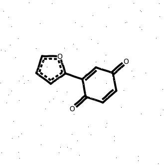 O=C1C=CC(=O)C(c2ccco2)=C1